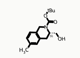 Cc1ccc2c(c1)C[C@@H](CO)N(C(=O)OC(C)(C)C)C2